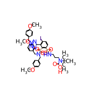 COc1ccc(CN(Cc2ccc(OC)cc2)S(=O)(=O)c2c(S(=O)(=O)NCCCN(C(=O)O)C(C)(C)C)ccc(I)c2-c2nnn(Cc3ccc(OC)cc3)n2)cc1